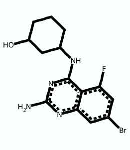 Nc1nc(NC2CCCC(O)C2)c2c(F)cc(Br)cc2n1